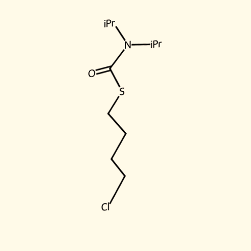 CC(C)N(C(=O)SCCCCCl)C(C)C